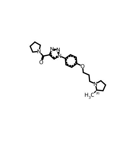 C[C@@H]1CCCN1CCCOc1ccc(-n2cc(C(=O)N3CCCC3)nn2)cc1